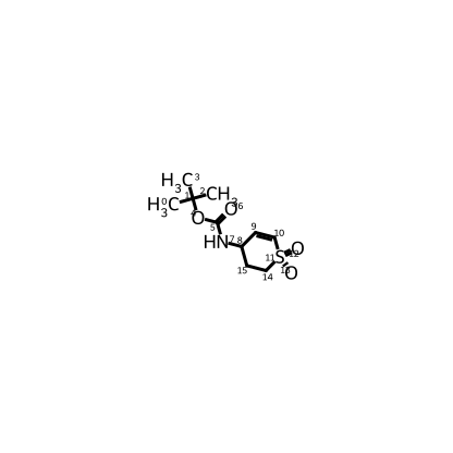 CC(C)(C)OC(=O)NC1C=CS(=O)(=O)CC1